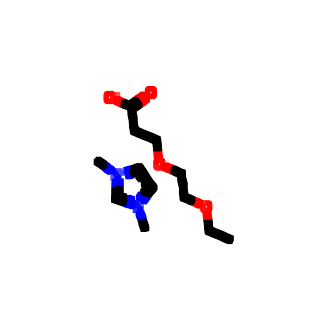 CCOCCOCCC(=O)[O-].Cn1cc[n+](C)c1